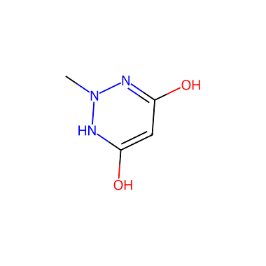 CN1N=C(O)C=C(O)N1